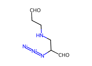 [N-]=[N+]=NC(C=O)CNCCC=O